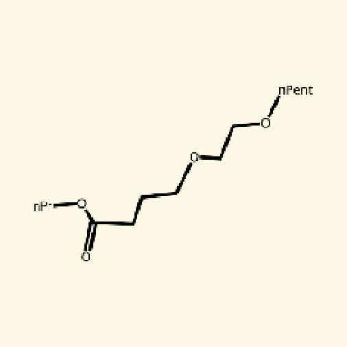 CCCCCOCCOCCCC(=O)OCCC